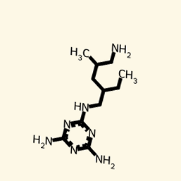 CCC(CNc1nc(N)nc(N)n1)CC(C)CN